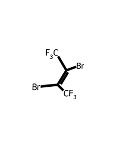 FC(F)(F)C(Br)=C(Br)C(F)(F)F